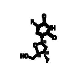 O=c1[nH]c(=O)n([C@H]2C[C@H](F)[C@@H](CO)O2)cc1F